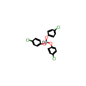 Clc1ccc([O][Dy]([O]c2ccc(Cl)cc2)[O]c2ccc(Cl)cc2)cc1